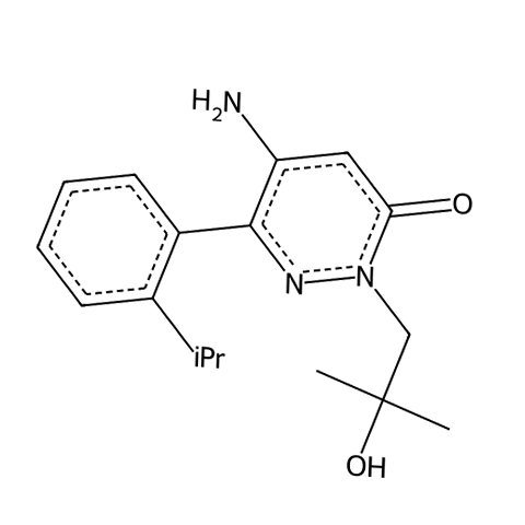 CC(C)c1ccccc1-c1nn(CC(C)(C)O)c(=O)cc1N